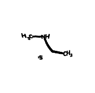 CCNC.[S]